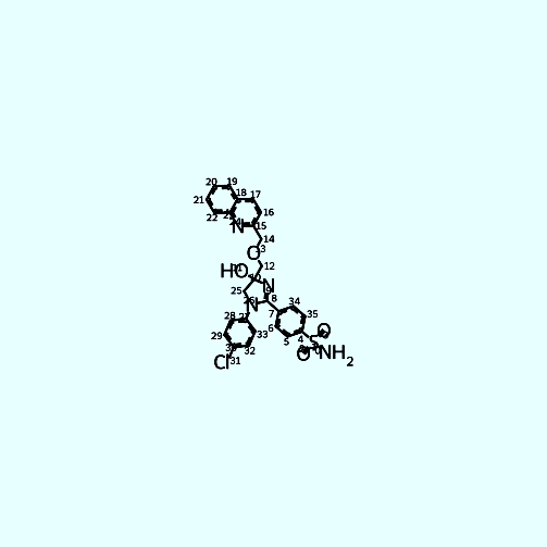 NS(=O)(=O)c1ccc(C2=NC(O)(COCc3ccc4ccccc4n3)CN2c2ccc(Cl)cc2)cc1